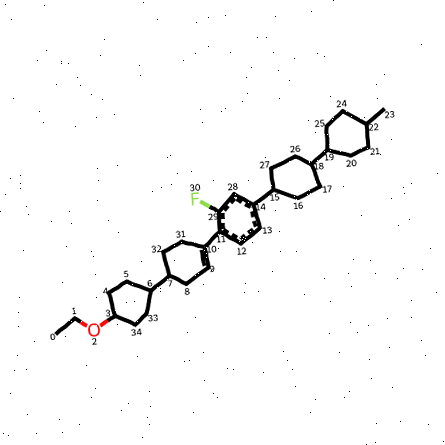 CCOC1CCC(C2CC=C(c3ccc(C4CCC(C5CCC(C)CC5)CC4)cc3F)CC2)CC1